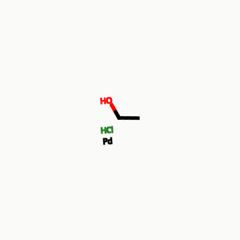 CCO.Cl.[Pd]